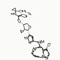 CC1(NC(=O)O[C@@H]2CO[C@H](c3cc(Nc4nccn5ncc(Cl)c45)n[nH]3)[C@H]2F)CC1